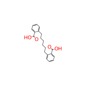 O=C(O)c1ccccc1CCCCCCc1ccccc1C(=O)O